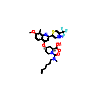 C=CCCCCN(C)C(=O)N1CC[C@H](Oc2cc(C3=CNC(C(F)(F)F)=CS3)nc3c(C)c(OC)ccc23)C[C@H]1C(=O)O